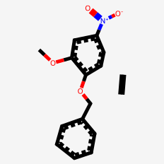 C=C.COc1cc([N+](=O)[O-])ccc1OCc1ccccc1